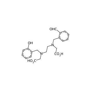 O=Cc1ccccc1CN(CCN(CC(=O)O)Cc1ccccc1O)CC(=O)O